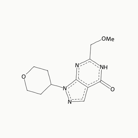 COCc1nc2c(cnn2C2CCOCC2)c(=O)[nH]1